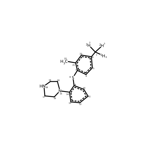 [2H]C([2H])([2H])c1ccc(Sc2ccccc2N2CCNCC2)c(C)c1